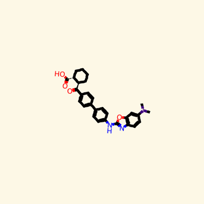 CI(C)c1ccc2nc(Nc3ccc(-c4ccc(C(=O)[C@@H]5CCCC[C@H]5C(=O)O)cc4)cc3)oc2c1